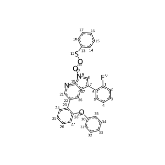 Fc1ccccc1-c1cn(OOSc2ccccc2)c2ncc(-c3ccccc3Oc3ccccc3)cc12